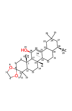 CC[C@]12CCC3(OCCO3)C(C)(C)C1CC[C@]1(C)C2[C@@H](O)C=C2C3CC(C)(C)C[C@@H](C(C)=O)C3CC[C@]21C